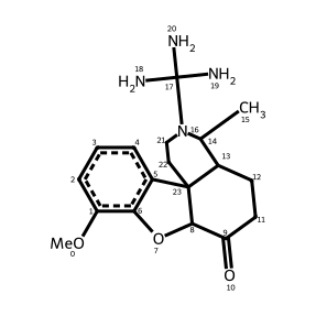 COc1cccc2c1OC1C(=O)CCC3C(C)N(C(N)(N)N)CCC213